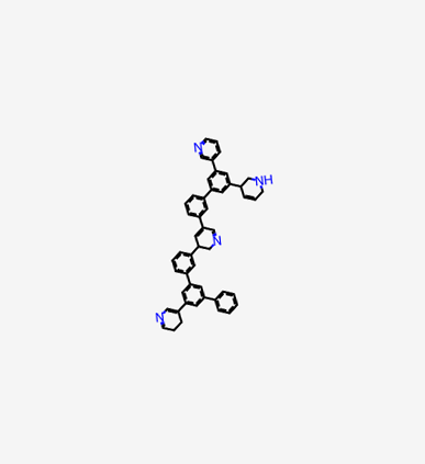 C1=CC(c2cc(-c3cccnc3)cc(-c3cccc(C4=CC(c5cccc(-c6cc(C7=CN=CCC7)cc(-c7ccccc7)c6)c5)CN=C4)c3)c2)CNC1